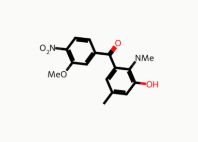 CNc1c(O)cc(C)cc1C(=O)c1ccc([N+](=O)[O-])c(OC)c1